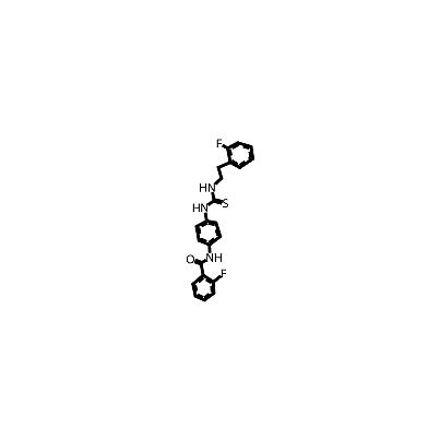 O=C(Nc1ccc(NC(=S)NCCc2ccccc2F)cc1)c1ccccc1F